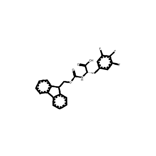 O=C(N[C@@H](Cc1cc(F)c(F)c(F)c1)C(=O)O)OCC1c2ccccc2-c2ccccc21